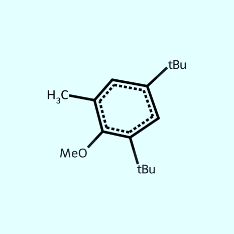 COc1c(C)cc(C(C)(C)C)cc1C(C)(C)C